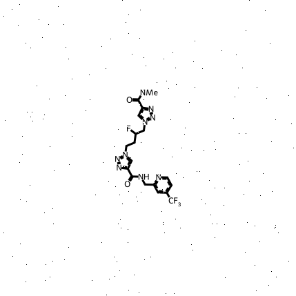 CNC(=O)c1cn(CC(F)CCn2cc(C(=O)NCc3cc(C(F)(F)F)ccn3)nn2)nn1